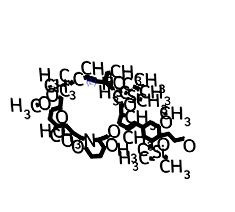 CCC1/C=C(\C)CC(C)CC(OC)C2OC(O)(C(=O)C(=O)N3CCCCC3C(=O)OC(C(C)=CC3CCC(CCC=O)(O[Si](CC)(CC)CC)C(OC)C3)C(C)C(O[Si](C)(C)C(C)(C)C)CC1=O)C(C)CC2OC